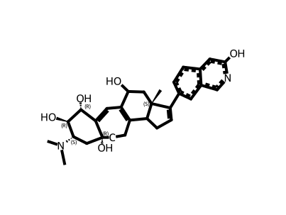 CN(C)[C@H]1C[C@]2(O)CCC3=C(C=C2[C@@H](O)[C@@H]1O)C(O)C[C@]1(C)C(c2ccc4cc(O)ncc4c2)=CCC31